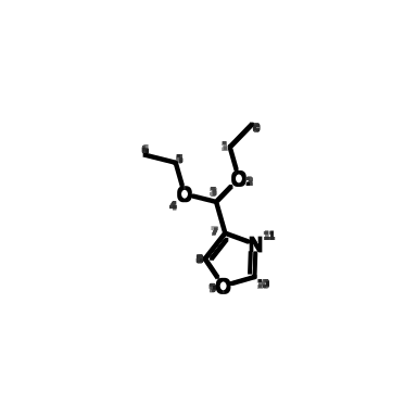 CCOC(OCC)c1cocn1